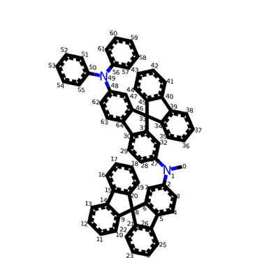 CN(c1ccc2c(c1)C1(c3ccccc3-c3ccccc31)c1ccccc1-2)c1ccc2c(c1)C1(c3ccccc3-c3ccccc31)c1cc(N(c3ccccc3)c3ccccc3)ccc1-2